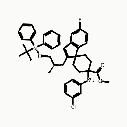 COC(=O)C1(Nc2cccc(Cl)c2)CCC2(CC1)C(C[C@@H](C)CO[Si](c1ccccc1)(c1ccccc1)C(C)(C)C)=Cc1cc(F)ccc12